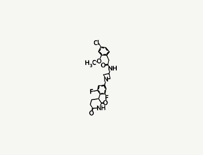 COc1cc(Cl)ccc1CC(=O)NC1CN(c2cc(F)c(C3CCC(=O)NC3=O)c(F)c2)C1